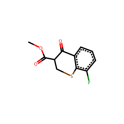 COC(=O)C1CSc2c(F)cccc2C1=O